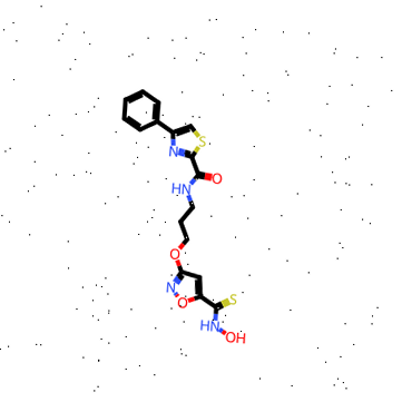 O=C(NCCCOc1cc(C(=S)NO)on1)c1nc(-c2ccccc2)cs1